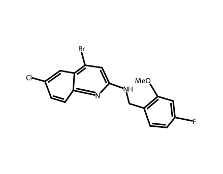 COc1cc(F)ccc1CNc1cc(Br)c2cc(Cl)ccc2n1